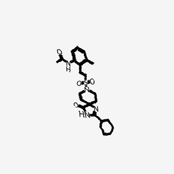 CC(=O)Nc1cccc(C)c1CCS(=O)(=O)N1CCC2(CC1)N=C(C1CCCCC1)NC2=O